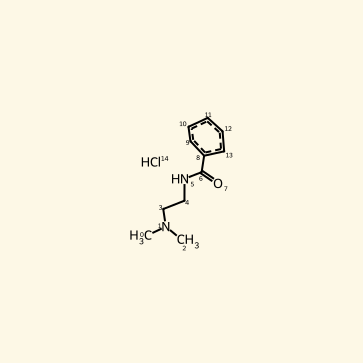 CN(C)CCNC(=O)c1ccccc1.Cl